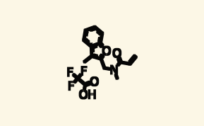 C=CC(=O)N(C)Cc1oc2ccccc2c1C.O=C(O)C(F)(F)F